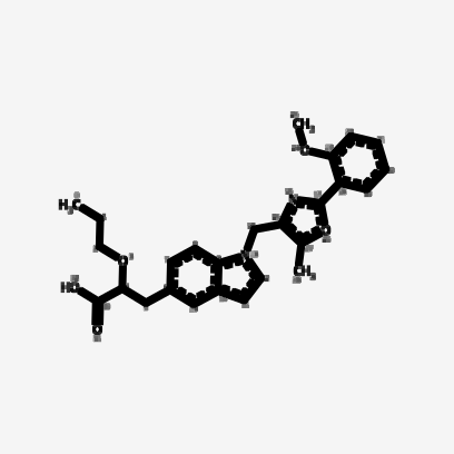 CCCOC(Cc1ccc2c(ccn2Cc2nc(-c3ccccc3OC)oc2C)c1)C(=O)O